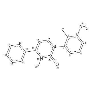 Cc1c(N)cccc1-c1ccc(-c2ccccc2)n(C)c1=O